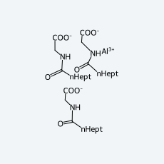 CCCCCCCC(=O)NCC(=O)[O-].CCCCCCCC(=O)NCC(=O)[O-].CCCCCCCC(=O)NCC(=O)[O-].[Al+3]